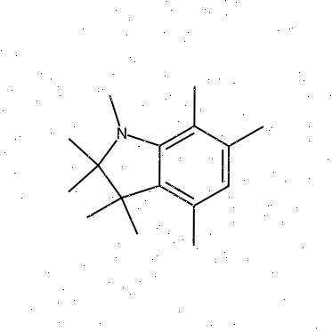 Cc1cc(C)c2c(c1C)N(C)C(C)(C)C2(C)C